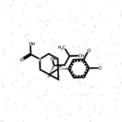 CC(C)CC(O)[C@]12CN(C(=O)O)CC[C@@]1(c1ccc(Cl)c(Cl)c1)C2